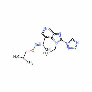 CCn1c(-n2cncn2)nc2cncc(/C(C)=N/OCC(C)C)c21